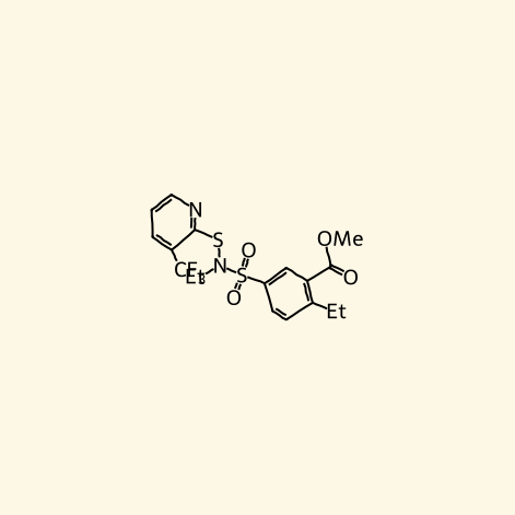 CCc1ccc(S(=O)(=O)N(CC)Sc2ncccc2C(F)(F)F)cc1C(=O)OC